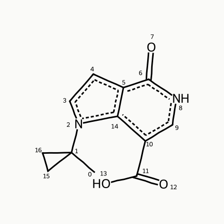 CC1(n2ccc3c(=O)[nH]cc(C(=O)O)c32)CC1